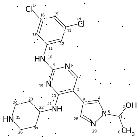 CC(O)n1cc(-c2cnc(Nc3cc(Cl)cc(Cl)c3)nc2NC2CCNCC2)cn1